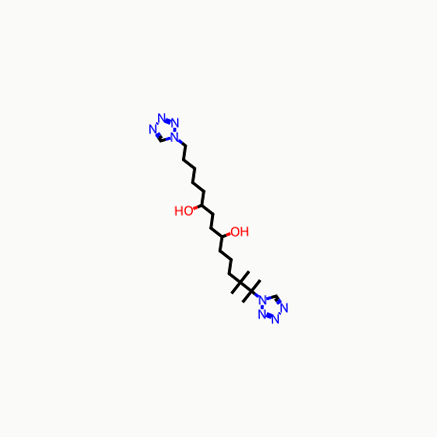 CC(C)(CCCC(O)CCC(O)CCCCCn1cnnn1)C(C)(C)n1cnnn1